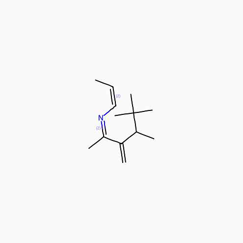 C=C(/C(C)=N\C=C/C)C(C)C(C)(C)C